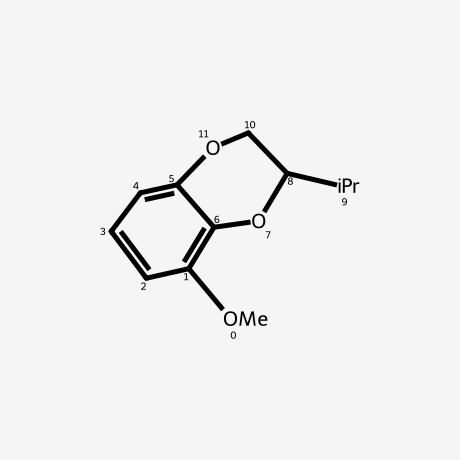 COc1cccc2c1OC(C(C)C)CO2